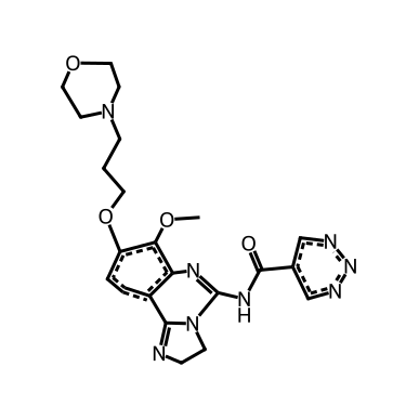 COc1c(OCCCN2CCOCC2)ccc2c1N=C(NC(=O)c1cnnnc1)N1CCN=C21